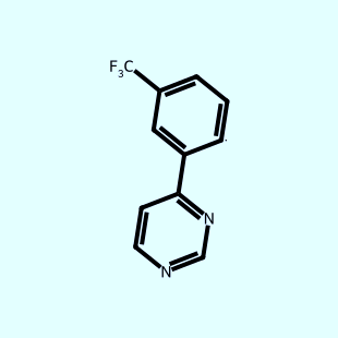 FC(F)(F)c1cc[c]c(-c2ccncn2)c1